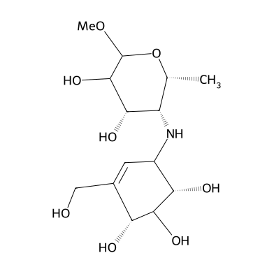 COC1O[C@H](C)[C@H](NC2C=C(CO)[C@@H](O)C(O)[C@H]2O)[C@H](O)C1O